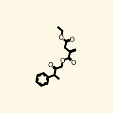 C=C(CC(=O)OCC)C(=O)OCC(=O)C(C)c1ccccc1